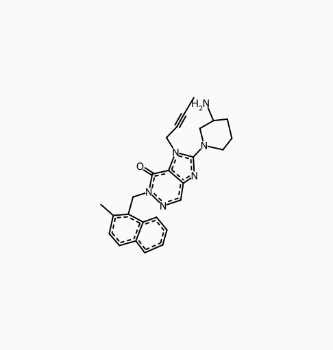 CC#CCn1c(N2CCCC(N)C2)nc2cnn(Cc3c(C)ccc4ccccc34)c(=O)c21